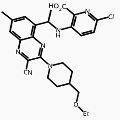 CCOCC1CCN(c2nc3c(C(C)Nc4ccc(Cl)nc4C(=O)O)cc(C)cc3nc2C#N)CC1